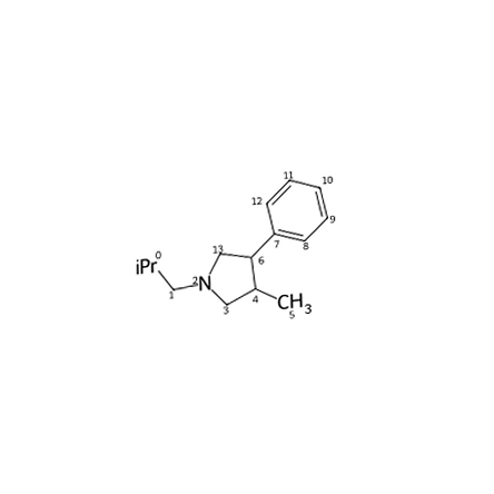 CC(C)CN1CC(C)C(c2ccccc2)C1